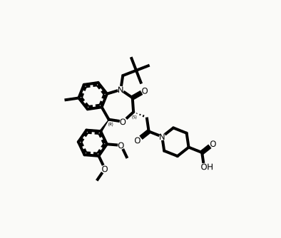 COc1cccc([C@@H]2O[C@@H](CC(=O)N3CCC(C(=O)O)CC3)C(=O)N(CC(C)(C)C)c3ccc(C)cc32)c1OC